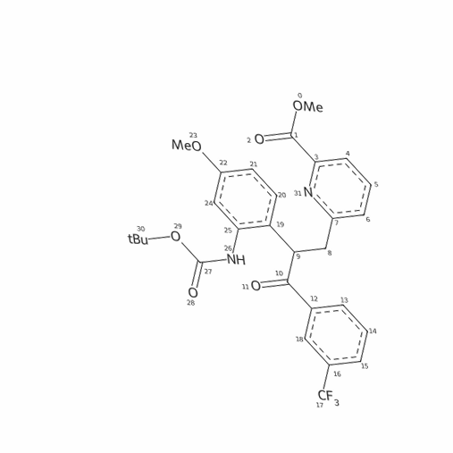 COC(=O)c1cccc(CC(C(=O)c2cccc(C(F)(F)F)c2)c2ccc(OC)cc2NC(=O)OC(C)(C)C)n1